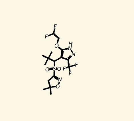 CC1(C)CC(S(=O)(=O)C(c2c(C(F)(F)F)n[nH]c2OCC(F)F)C(C)(C)C)=NO1